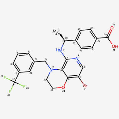 C[C@H](Nc1ncc(Br)c2c1N(Cc1cccc(C(F)(F)F)c1)CCO2)c1ccc(C(=O)O)cc1